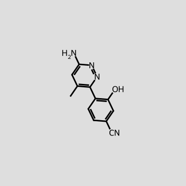 Cc1cc(N)nnc1-c1ccc(C#N)cc1O